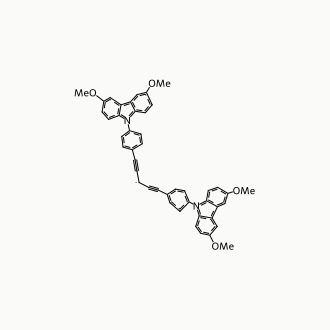 COc1ccc2c(c1)c1cc(OC)ccc1n2-c1ccc(C#C[CH]C#Cc2ccc(-n3c4ccc(OC)cc4c4cc(OC)ccc43)cc2)cc1